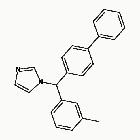 Cc1cccc(C(c2ccc(-c3ccccc3)cc2)n2ccnc2)c1